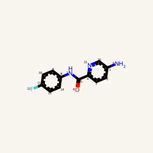 Nc1ccc(C(=O)Nc2ccc(F)cc2)nc1